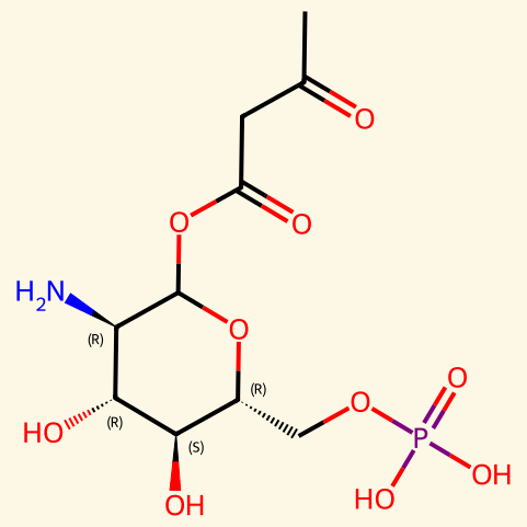 CC(=O)CC(=O)OC1O[C@H](COP(=O)(O)O)[C@@H](O)[C@H](O)[C@H]1N